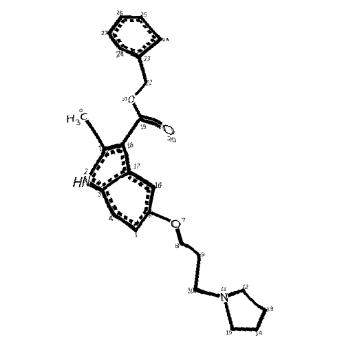 Cc1[nH]c2ccc(OCCCN3CCCC3)cc2c1C(=O)OCc1ccccc1